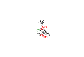 CCCCCC(O)CCCC(Cl)(CCCCC(C)(C)CC(=O)O)C(C)=O